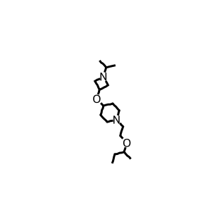 CCC(C)OCCN1CCC(OC2CN(C(C)C)C2)CC1